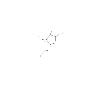 CCCCCOC[C@H]1OC(O)[C@](C)(O)[C@@H]1OCCCCC